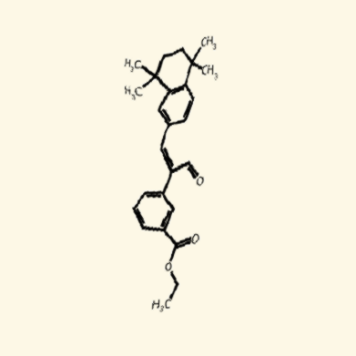 CCOC(=O)c1cccc(/C(C=O)=C/c2ccc3c(c2)C(C)(C)CCC3(C)C)c1